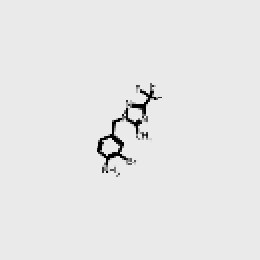 Cc1nc(C(F)(F)F)nn1Cc1ccc(N)c(Br)c1